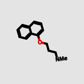 CNCCCOc1cccc2ccccc12